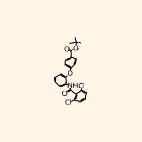 CC(C)(C)OC(=O)c1ccc(Oc2ccccc2NC(=O)c2c(Cl)cccc2Cl)cc1